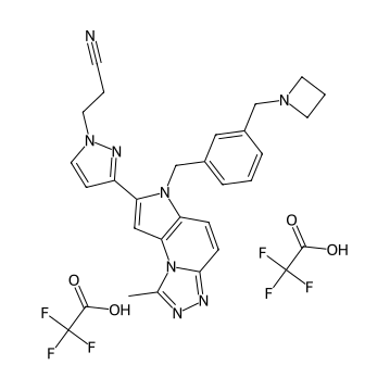 Cc1nnc2ccc3c(cc(-c4ccn(CCC#N)n4)n3Cc3cccc(CN4CCC4)c3)n12.O=C(O)C(F)(F)F.O=C(O)C(F)(F)F